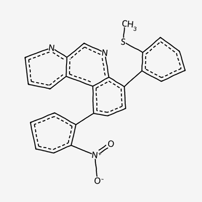 CSc1ccccc1-c1ccc(-c2ccccc2[N+](=O)[O-])c2c1ncc1ncccc12